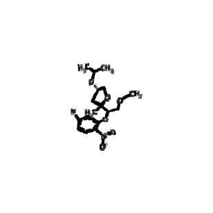 COC[C@@H](Oc1cc(F)ccc1[N+](=O)[O-])C1(C)C[C@H](OC(C)C)CO1